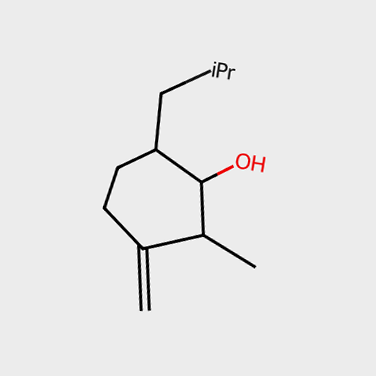 C=C1CCC(CC(C)C)C(O)C1C